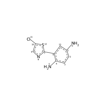 Nc1ccc(N)c(-c2ncc(Cl)s2)c1